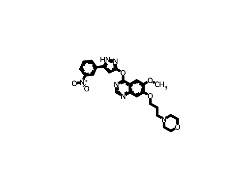 COc1cc2c(Oc3cc(-c4cccc([N+](=O)[O-])c4)[nH]n3)ncnc2cc1OCCCN1CCOCC1